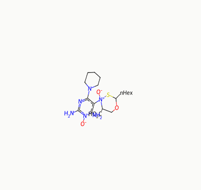 CCCCCCC1OCC(C(=O)O)[N+]([O-])(c2c(N3CCCCC3)nc(N)[n+]([O-])c2N)S1